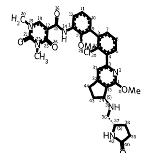 COc1nc(-c2cccc(-c3cccc(NC(=O)c4cn(C)c(=O)n(C)c4=O)c3OC)c2Cl)cc2c1[C@@H](NC[C@@H]1CCC(=O)N1)CC2